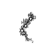 NCCOc1cnc2ccc(Oc3cccc(NC(=O)Nc4ccc(Cl)c(C(F)(F)F)c4)c3)cc2n1